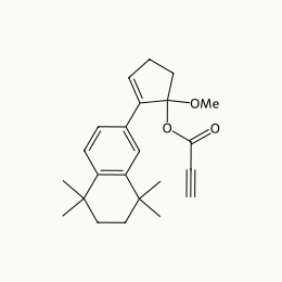 C#CC(=O)OC1(OC)CCC=C1c1ccc2c(c1)C(C)(C)CCC2(C)C